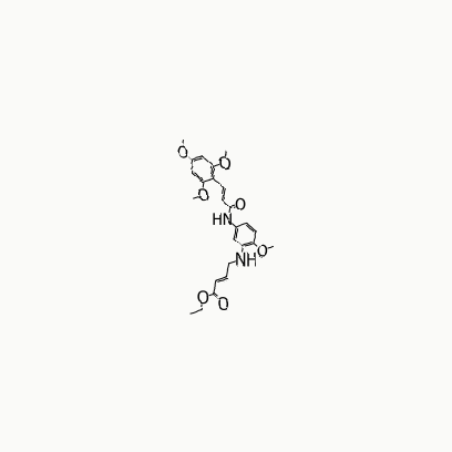 CCOC(=O)/C=C/CNc1cc(NC(=O)/C=C/c2c(OC)cc(OC)cc2OC)ccc1OC